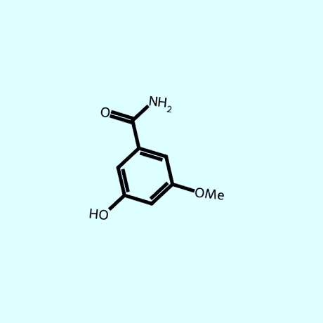 COc1cc(O)cc(C(N)=O)c1